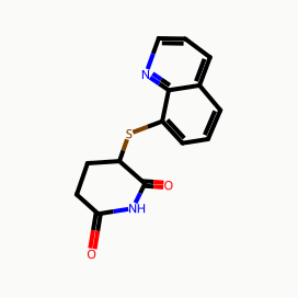 O=C1CCC(Sc2cccc3cccnc23)C(=O)N1